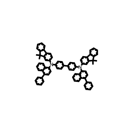 CC1(C)c2ccccc2-c2ccc(N(c3ccc(-c4ccc(N(c5ccc6c(c5)C(C)(C)c5ccccc5-6)c5ccc(-c6ccccc6)c6ccccc56)cc4)cc3)c3ccc(-c4ccccc4)c4ccccc34)cc21